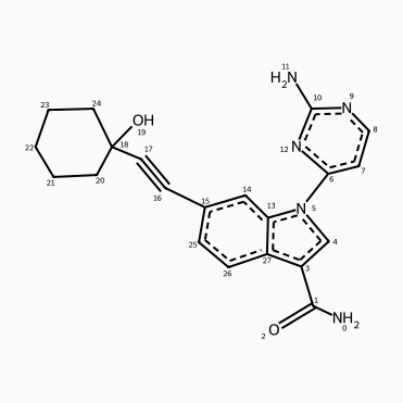 NC(=O)c1cn(-c2ccnc(N)n2)c2cc(C#CC3(O)CCCCC3)ccc12